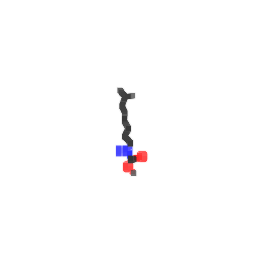 COC(=O)NCCCCCCC(C)C